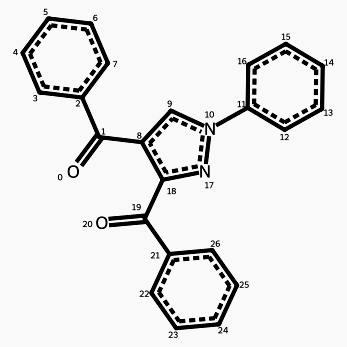 O=C(c1ccccc1)c1cn(-c2ccccc2)nc1C(=O)c1ccccc1